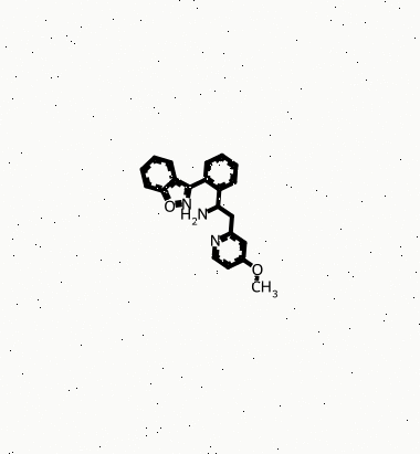 COc1ccnc(CC(N)c2ccccc2-c2noc3ccccc23)c1